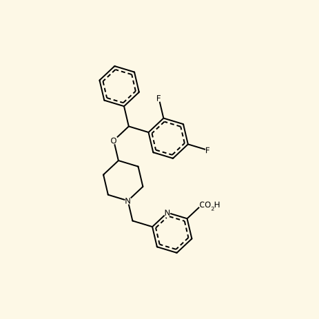 O=C(O)c1cccc(CN2CCC(OC(c3ccccc3)c3ccc(F)cc3F)CC2)n1